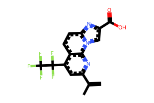 C=C(C)c1cc(C(F)(F)C(F)(F)F)c2ccc3nc(C(=O)O)cn3c2n1